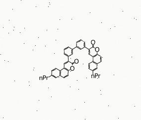 CCCc1ccc2c(ccc3oc(=O)c(-c4cccc(-c5cccc(-c6cc7c(ccc8cc(CCC)ccc87)oc6=O)c5)c4)cc32)c1